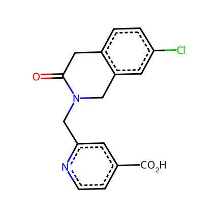 O=C(O)c1ccnc(CN2Cc3cc(Cl)ccc3CC2=O)c1